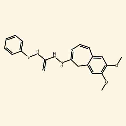 COc1cc2c(cc1OC)CC(NNC(=O)NSc1ccccc1)=NC=C2